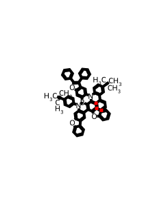 CC(C)(C)c1ccc(N2B3c4cc5oc(-c6ccccc6)c(-c6ccccc6)c5cc4N(c4ccc(C(C)(C)C)cc4-c4ccccc4)c4cc5c(oc6ccccc65)c(c43)-c3cc4c(cc32)oc2ccccc24)cc1